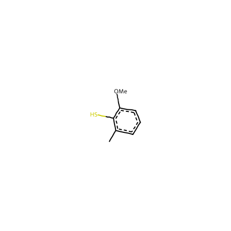 COc1cccc(C)c1S